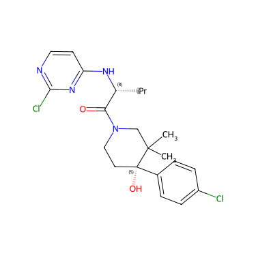 CC(C)[C@@H](Nc1ccnc(Cl)n1)C(=O)N1CC[C@](O)(c2ccc(Cl)cc2)C(C)(C)C1